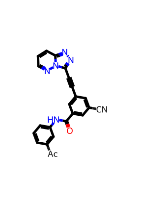 CC(=O)c1cccc(NC(=O)c2cc(C#N)cc(C#Cc3nnc4cccnn34)c2)c1